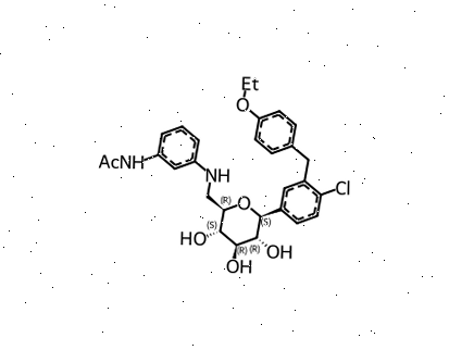 CCOc1ccc(Cc2cc([C@@H]3O[C@H](CNc4cccc(NC(C)=O)c4)[C@@H](O)[C@H](O)[C@H]3O)ccc2Cl)cc1